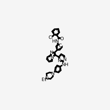 CCN1CCN(c2ccc(Nc3nccc(-c4c(-c5cccc(NC(=O)c6ccccc6Cl)c5)nc5ccccn45)n3)cc2)CC1